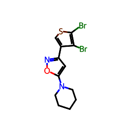 Brc1scc(-c2cc(N3CCCCC3)on2)c1Br